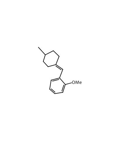 COc1ccccc1C=C1CCC(C)CC1